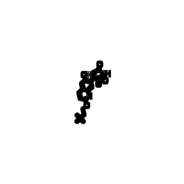 CC(C)(C)CCOc1ccc2cc(O)c(N3CC(=O)NS3(=O)=O)cc2n1